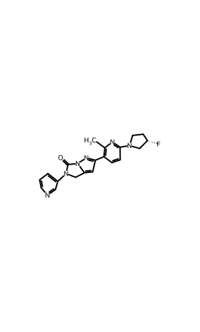 Cc1nc(N2CC[C@H](F)C2)ccc1-c1cc2n(n1)C(=O)N(c1cccnc1)C2